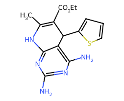 CCOC(=O)C1=C(C)Nc2nc(N)nc(N)c2C1c1cccs1